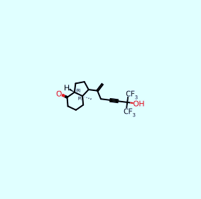 C=C(CC#CC(O)(C(F)(F)F)C(F)(F)F)C1CC[C@H]2C(=O)CCC[C@]12C